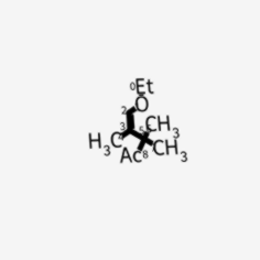 CCOC=C(C)C(C)(C)C(C)=O